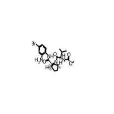 COC(=O)N[C@H](C(=O)N1[C@@H]2CC[C@@H](C2)[C@H]1C(=O)Nc1ccc(Br)cc1N)C(C)C